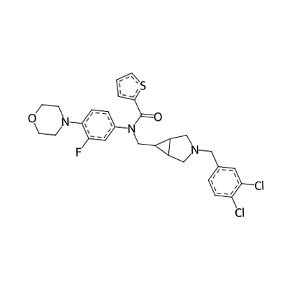 O=C(c1cccs1)N(CC1C2CN(Cc3ccc(Cl)c(Cl)c3)CC21)c1ccc(N2CCOCC2)c(F)c1